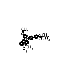 C=CC(=O)Oc1ccc(N(c2ccc(-c3ccc(OC(=O)C(=C)C)cc3)cc2)c2ccc(CC)c3c2ccc2cccc(C)c23)cc1